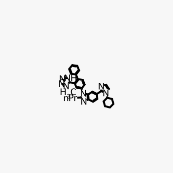 CCCc1nc2ccc(-c3nccn3C3CCCCC3)cc2n1-c1ccc(-c2ccccc2)c(-c2nnn[nH]2)c1C